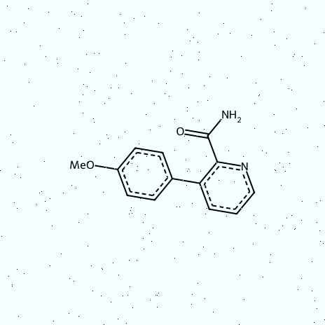 COc1ccc(-c2cccnc2C(N)=O)cc1